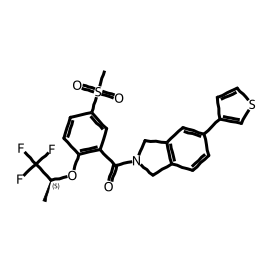 C[C@H](Oc1ccc(S(C)(=O)=O)cc1C(=O)N1Cc2ccc(-c3ccsc3)cc2C1)C(F)(F)F